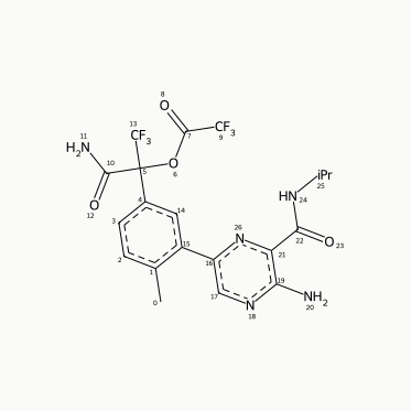 Cc1ccc(C(OC(=O)C(F)(F)F)(C(N)=O)C(F)(F)F)cc1-c1cnc(N)c(C(=O)NC(C)C)n1